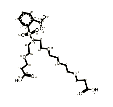 O=C(O)CCOCCOCCOCCN(CCOCCC(=O)O)S(=O)(=O)c1ccccc1[N+](=O)[O-]